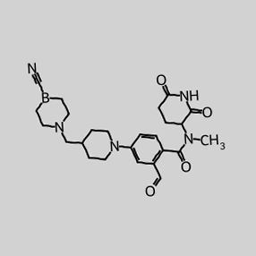 CN(C(=O)c1ccc(N2CCC(CN3CCB(C#N)CC3)CC2)cc1C=O)C1CCC(=O)NC1=O